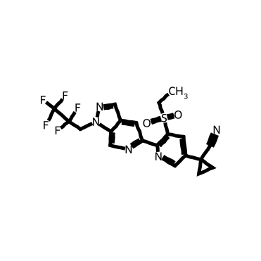 CCS(=O)(=O)c1cc(C2(C#N)CC2)cnc1-c1cc2cnn(CC(F)(F)C(F)(F)F)c2cn1